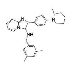 Cc1cc(C)cc(CNC2C(c3ccc(N4CCCCC4C)cc3)N=C3C=CC=CN32)c1